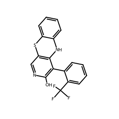 Oc1ncc2c(c1-c1ccccc1C(F)(F)F)Nc1ccccc1S2